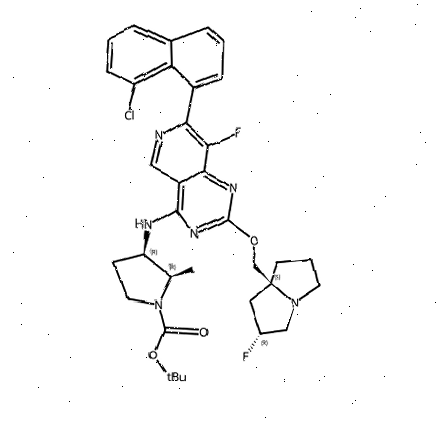 C[C@@H]1[C@H](Nc2nc(OC[C@@]34CCCN3C[C@H](F)C4)nc3c(F)c(-c4cccc5cccc(Cl)c45)ncc23)CCN1C(=O)OC(C)(C)C